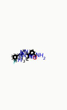 Cc1[nH]c2c(C(N)=O)cccc2c1-c1ncnc(NCc2cccc(F)c2)n1